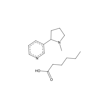 CCCCCC(=O)O.CN1CCCC1c1cccnc1